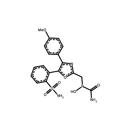 COc1ccc(-c2nc(CN(O)C(N)=O)oc2-c2ccccc2S(N)(=O)=O)cc1